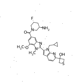 COc1cc(C(=O)N2C[C@H](N)C[C@@H](F)C2)cc2nc(-c3cc4ccc(C5(O)CSC5)nc4n3CC3CC3)n(C)c12